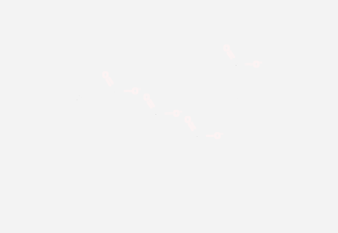 O=C([O-])C1CCCCC1.O=C([O-])C1CCCCC1.O=C([O-])C1CCCCC1.O=C([O-])C1CCCCC1.[Zr+4]